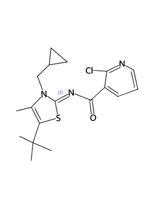 Cc1c(C(C)(C)C)s/c(=N\C(=O)c2cccnc2Cl)n1CC1CC1